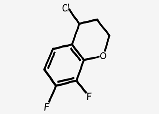 Fc1ccc2c(c1F)OCCC2Cl